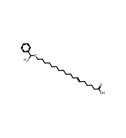 CC(OCCCCCCCCCCCC=CCCCCC(=O)O)c1ccccc1